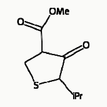 COC(=O)C1CSC(C(C)C)C1=O